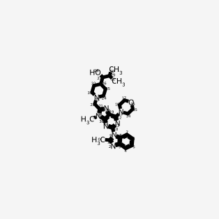 Cc1nc2ccccc2n1-c1nc(N2CCOCC2)c2nc(CN3CCC(C(O)C(C)C)CC3)n(C)c2n1